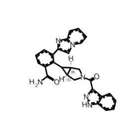 NC(=O)c1cccc(-c2cn3ccccc3n2)c1C1[C@H]2CN(C(=O)c3n[nH]c4ccccc34)C[C@@H]12